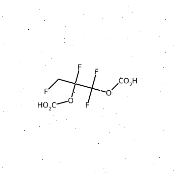 O=C(O)OC(F)(F)C(F)(CF)OC(=O)O